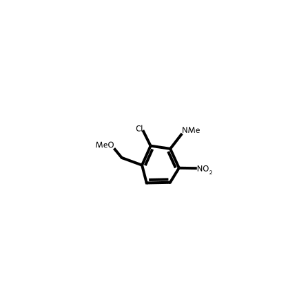 CNc1c([N+](=O)[O-])ccc(COC)c1Cl